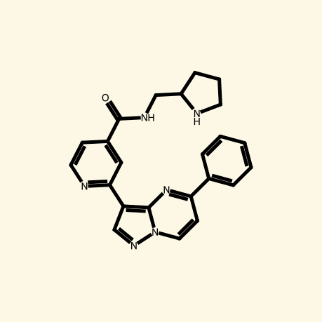 O=C(NCC1CCCN1)c1ccnc(-c2cnn3ccc(-c4ccccc4)nc23)c1